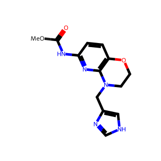 COC(=O)Nc1ccc2c(n1)N(Cc1c[nH]cn1)CCO2